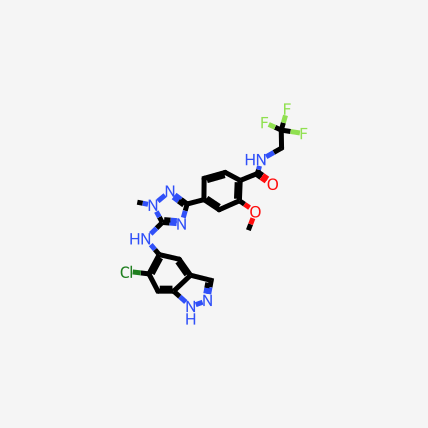 COc1cc(-c2nc(Nc3cc4cn[nH]c4cc3Cl)n(C)n2)ccc1C(=O)NCC(F)(F)F